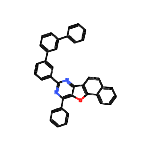 c1ccc(-c2cccc(-c3cccc(-c4nc(-c5ccccc5)c5oc6c7ccccc7ccc6c5n4)c3)c2)cc1